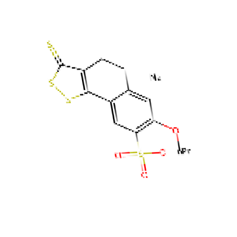 CCCOc1cc2c(cc1S(=O)(=O)[O-])-c1ssc(=S)c1CC2.[Na+]